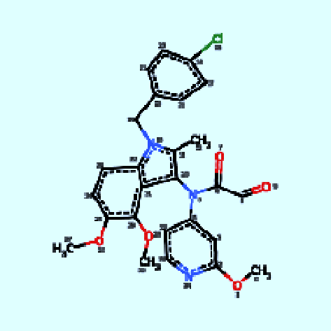 COc1cc(N(C(=O)C=O)c2c(C)n(Cc3ccc(Cl)cc3)c3ccc(OC)c(OC)c23)ccn1